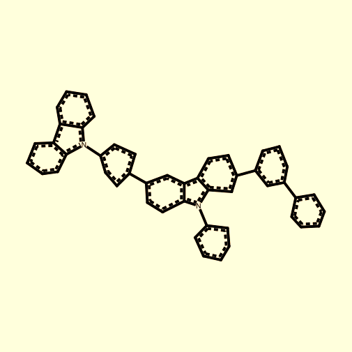 c1ccc(-c2cccc(-c3ccc4c5cc(-c6ccc(-n7c8ccccc8c8ccccc87)cc6)ccc5n(-c5ccccc5)c4c3)c2)cc1